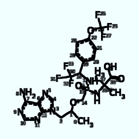 CC(Cn1cnc2c(N)ncnc21)OCP(=O)(NC(c1ccc(OC(F)(F)F)cc1)C(F)(F)F)NC(C)(C)C(=O)O